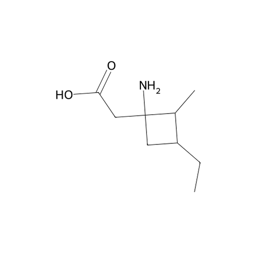 CCC1CC(N)(CC(=O)O)C1C